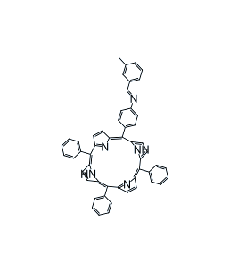 Cc1cccc(/C=N/c2ccc(-c3c4nc(c(-c5ccccc5)c5ccc([nH]5)c(-c5ccccc5)c5nc(c(-c6ccccc6)c6ccc3[nH]6)C=C5)C=C4)cc2)c1